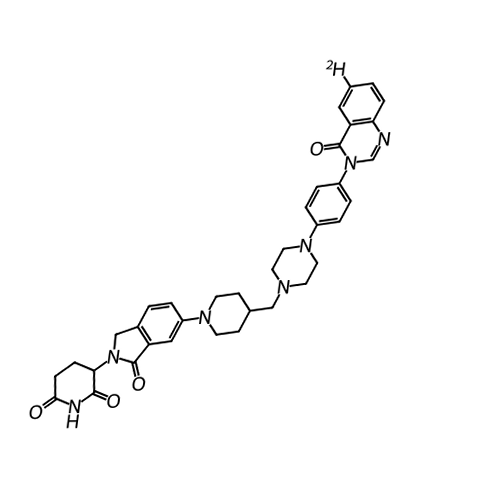 [2H]c1ccc2ncn(-c3ccc(N4CCN(CC5CCN(c6ccc7c(c6)C(=O)N(C6CCC(=O)NC6=O)C7)CC5)CC4)cc3)c(=O)c2c1